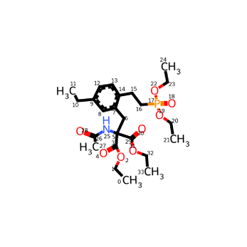 CCOC(=O)C(Cc1cc(CC)ccc1CCP(=O)(OCC)OCC)(NC(C)=O)C(=O)OCC